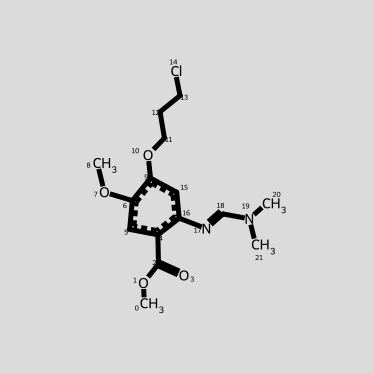 COC(=O)c1cc(OC)c(OCCCCl)cc1/N=C/N(C)C